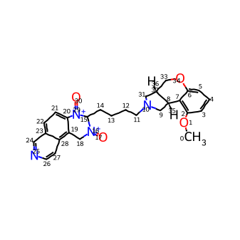 COc1cccc2c1[C@@H]1CN(CCCCC3[N+](=O)Cc4c(ccc5cnccc45)[N+]3=O)C[C@@H]1CO2